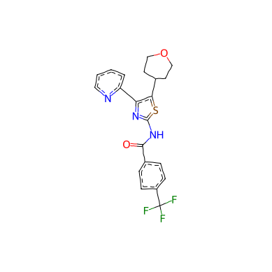 O=C(Nc1nc(-c2ccccn2)c(C2CCOCC2)s1)c1ccc(C(F)(F)F)cc1